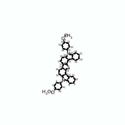 COc1ccc(-n2c3ccccc3c3c4sc5c(ccc6c5c5ccccc5n6-c5ccc(OC)cc5)c4ccc32)cc1